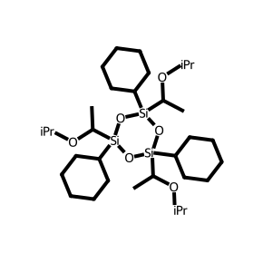 CC(C)OC(C)[Si]1(C2CCCCC2)O[Si](C2CCCCC2)(C(C)OC(C)C)O[Si](C2CCCCC2)(C(C)OC(C)C)O1